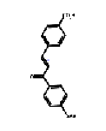 CSc1ccc(C(=O)/C=C/c2ccc(C(=O)O)cc2)cc1